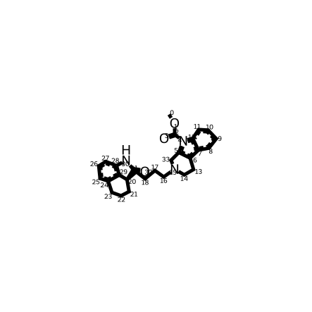 COC(=O)n1c2c(c3ccccc31)CCN(CCCCC13CCCc4cccc(c41)NC3=O)C2